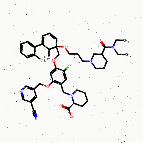 CCN(CC)C(=O)C1CCCN(CCCOC2(COc3cc(OCc4cncc(C#N)c4)c(CN4CCCC[C@H]4C(=O)O)cc3Cl)C=CC=C(c3ccccc3C)C2C)C1